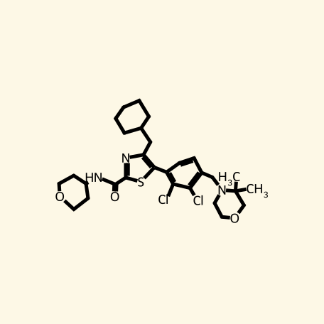 CC1(C)COCCN1Cc1ccc(-c2sc(C(=O)NC3CCOCC3)nc2CC2CCCCC2)c(Cl)c1Cl